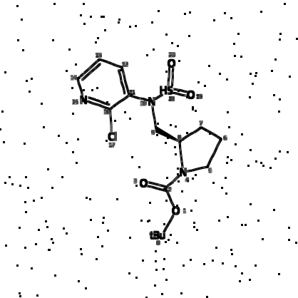 CC(C)(C)OC(=O)N1CCC[C@@H]1CN(c1cccnc1Cl)[SH](=O)=O